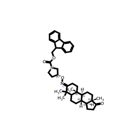 CC1(C)/C(=N/O[C@@H]2CCN(C(=O)OCC3c4ccccc4-c4ccccc43)C2)CC[C@@]2(C)C1CC[C@@H]1[C@@H]2CC[C@]2(C)C(=O)CC[C@@H]12